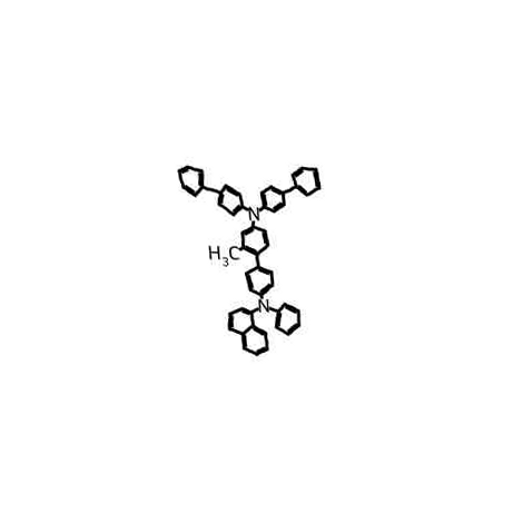 Cc1cc(N(c2ccc(-c3ccccc3)cc2)c2ccc(-c3ccccc3)cc2)ccc1-c1ccc(N(c2ccccc2)c2cccc3ccccc23)cc1